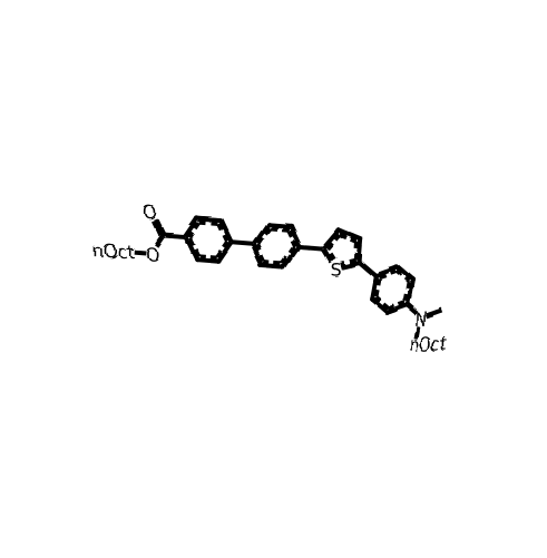 CCCCCCCCOC(=O)c1ccc(-c2ccc(-c3ccc(-c4ccc(N(C)CCCCCCCC)cc4)s3)cc2)cc1